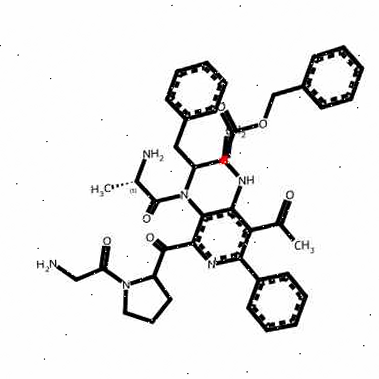 C=CNc1c(C(C)=O)c(-c2ccccc2)nc(C(=O)C2CCCN2C(=O)CN)c1N(C(=O)[C@H](C)N)C(CC(=O)OCc1ccccc1)Cc1ccccc1